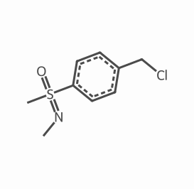 CN=S(C)(=O)c1ccc(CCl)cc1